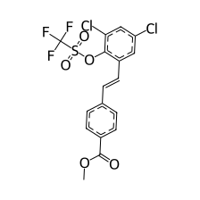 COC(=O)c1ccc(C=Cc2cc(Cl)cc(Cl)c2OS(=O)(=O)C(F)(F)F)cc1